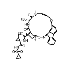 CC[C@@H]1C[C@]1(NC(=O)[C@@H]1C[C@@H]2C[C@H]1C(=O)N[C@H](C(C)(C)C)C(=O)NC/C=C\COc1ccc3c(c1)/C(=N\O2)c1ccccc1-3)C(=O)NS(=O)(=O)C1CC1